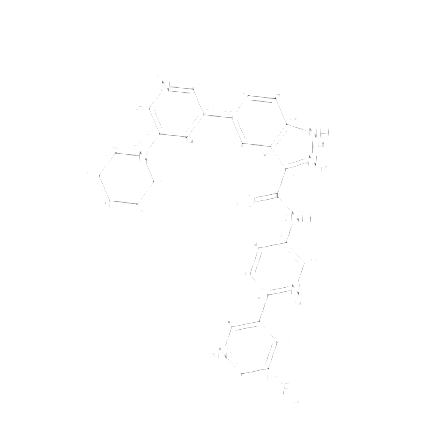 O=C(Nc1ccc(-c2cncc(F)c2)nc1)c1n[nH]c2ccc(-c3cncc(N4CCCCC4)c3)cc12